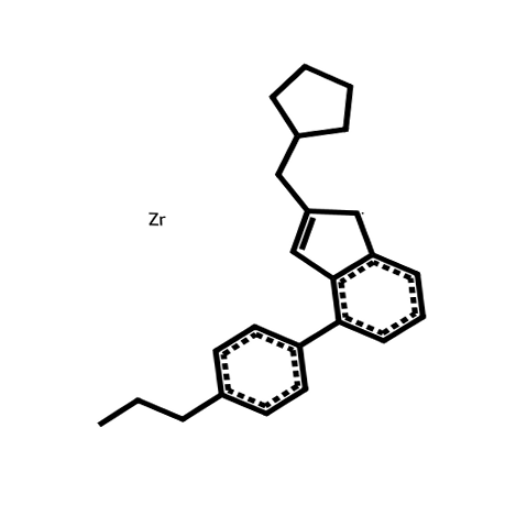 CCCc1ccc(-c2cccc3c2C=C(CC2CCCC2)[CH]3)cc1.[Zr]